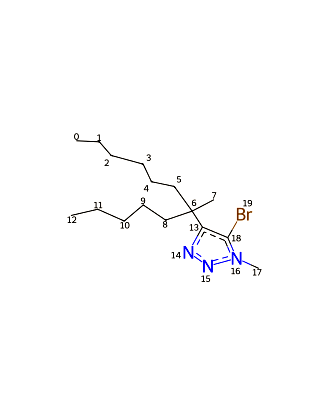 CCCCCCC(C)(CCCCC)c1nnn(C)c1Br